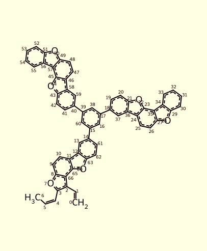 C=Cc1c(/C=C\C)oc2ccc3c4cc(-c5cc(-c6ccc7oc8c(ccc9oc%10ccccc%10c98)c7c6)cc(-c6ccc7oc8c(ccc9oc%10ccccc%10c98)c7c6)c5)ccc4oc3c12